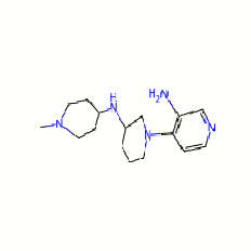 CN1CCC(NC2CCCN(c3ccncc3N)C2)CC1